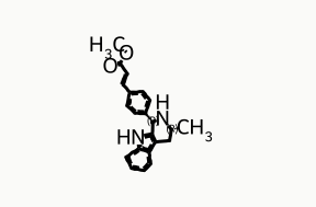 COC(=O)C=Cc1ccc([C@H]2N[C@H](C)Cc3c2[nH]c2ccccc32)cc1